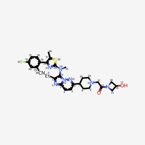 CCc1nc2ccc(C3CCN(CC(=O)N4CC(O)C4)CC3)nn2c1N(C)c1nc(-c2ccc(F)cc2C#N)c(C)s1